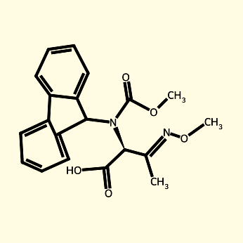 CON=C(C)[C@@H](C(=O)O)N(C(=O)OC)C1c2ccccc2-c2ccccc21